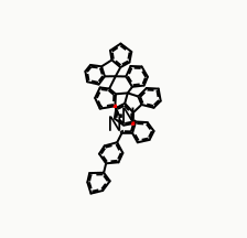 c1ccc(-c2ccc(-c3nc(-c4cccc5c4C4(c6ccccc6-c6ccccc64)c4ccccc4C54c5ccccc5-c5ccccc54)nc4ccccc34)cc2)cc1